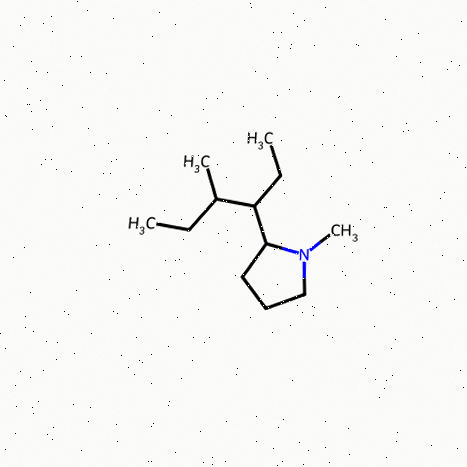 CCC(C)C(CC)C1CCCN1C